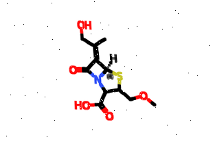 COCC1S[C@@H]2C(=C(C)CO)C(=O)N2C1C(=O)O